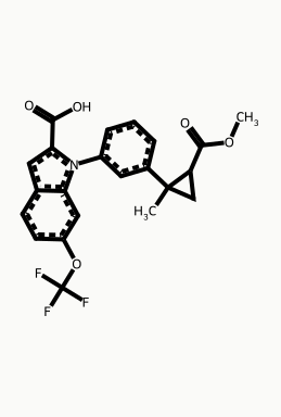 COC(=O)C1CC1(C)c1cccc(-n2c(C(=O)O)cc3ccc(OC(F)(F)F)cc32)c1